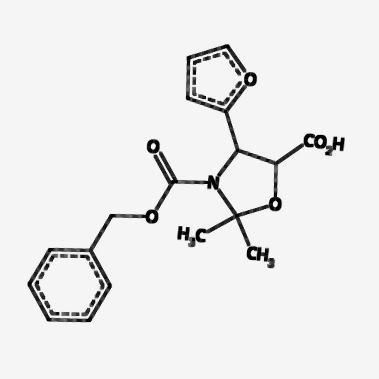 CC1(C)OC(C(=O)O)C(c2ccco2)N1C(=O)OCc1ccccc1